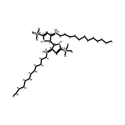 CCCCCCCCCCCC[SiH]=C1C=[C]([Sn]([CH3])([CH3])[CH3])SC1C1S[C]([Sn]([CH3])([CH3])[CH3])=CC1=[SiH]CCCCCCCCCCCC